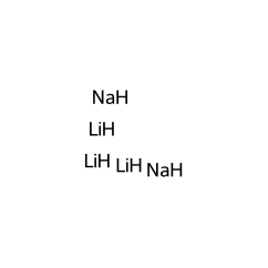 [LiH].[LiH].[LiH].[NaH].[NaH]